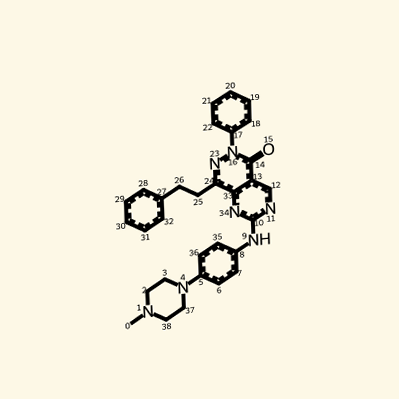 CN1CCN(c2ccc(Nc3ncc4c(=O)n(-c5ccccc5)nc(CCc5ccccc5)c4n3)cc2)CC1